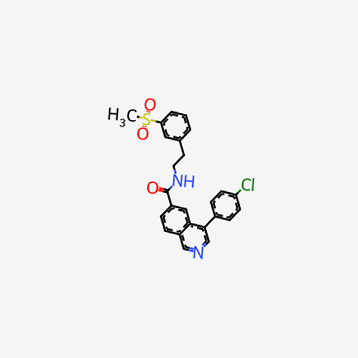 CS(=O)(=O)c1cccc(CCNC(=O)c2ccc3cncc(-c4ccc(Cl)cc4)c3c2)c1